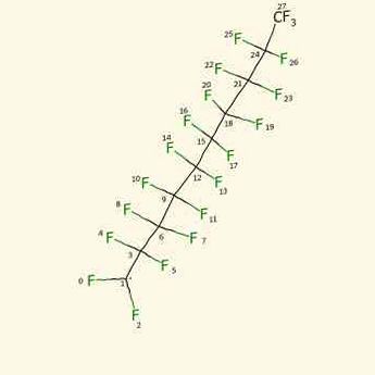 F[C](F)C(F)(F)C(F)(F)C(F)(F)C(F)(F)C(F)(F)C(F)(F)C(F)(F)C(F)(F)C(F)(F)F